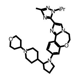 Cc1nc(-c2cn3c(n2)-c2ccc(N4CCCC4C4CCN(C5CCOCC5)CC4)cc2OCC3)n(C(C)C)n1